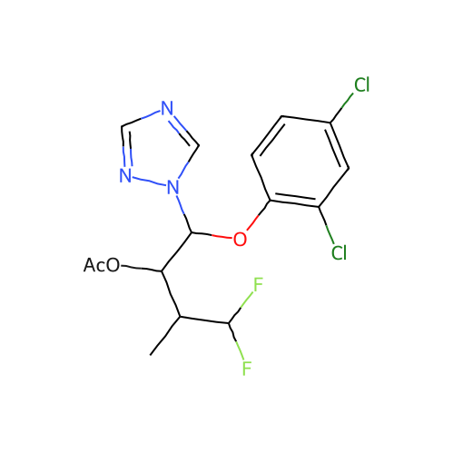 CC(=O)OC(C(C)C(F)F)C(Oc1ccc(Cl)cc1Cl)n1cncn1